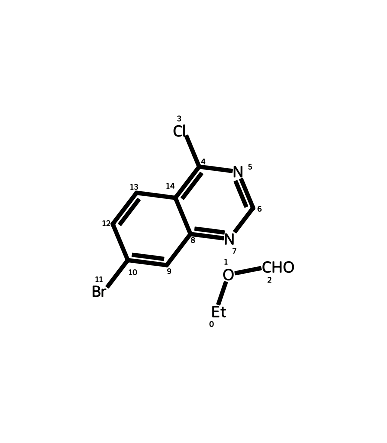 CCOC=O.Clc1ncnc2cc(Br)ccc12